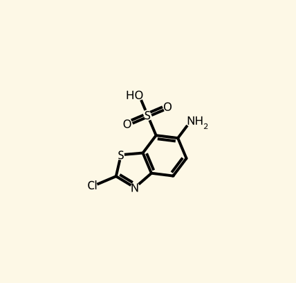 Nc1ccc2nc(Cl)sc2c1S(=O)(=O)O